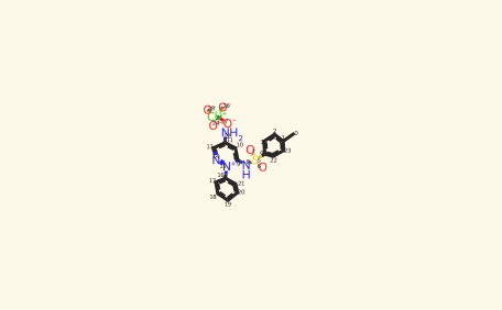 Cc1ccc(S(=O)(=O)Nc2cc(N)cn[n+]2-c2ccccc2)cc1.[O-][Cl+3]([O-])([O-])[O-]